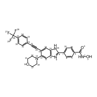 O=C(NO)c1ccc(-c2nc3cc(N4CCOCC4)c(C#Cc4ccc(C(F)(F)F)cc4)cc3[nH]2)cc1